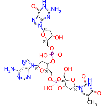 Cc1cn([C@H]2CC(OP(=O)(O)OC[C@H]3O[C@@H](n4cnc5c(N)ncnc54)CC3OP(=O)(O)OC[C@H]3O[C@@H](n4cnc5c(=O)[nH]c(N)nc54)CC3O)[C@@H](CO)O2)c(=O)[nH]c1=O